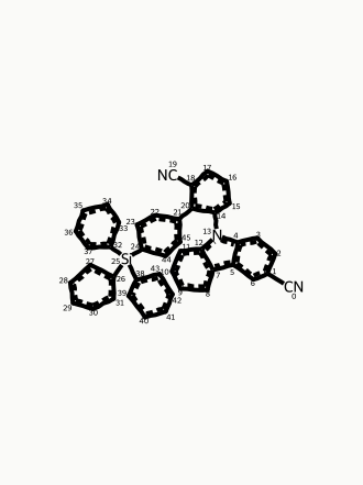 N#Cc1ccc2c(c1)c1ccccc1n2-c1cccc(C#N)c1-c1ccc([Si](c2ccccc2)(c2ccccc2)c2ccccc2)cc1